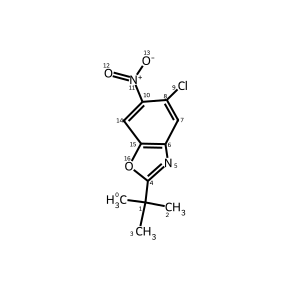 CC(C)(C)c1nc2cc(Cl)c([N+](=O)[O-])cc2o1